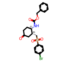 O=C1CC[C@H](NC(=O)OCc2ccccc2)[C@H](CS(=O)(=O)c2ccc(Br)cc2)C1